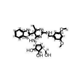 COc1cc(CNc2nc(C)c(-c3nc4ccccc4s3)c(N[C@@H]3C[C@H](CO)[C@@H](O)[C@H]3O)n2)cc(OC)c1